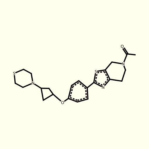 CC(=O)N1CCc2nc(-c3ccc(OC4CC(N5CCSCC5)C4)cc3)sc2C1